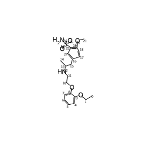 CCOc1ccccc1OCCNC(C)Cc1ccc(OC)c(S(N)(=O)=O)c1